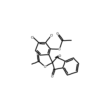 CC(=O)Oc1c(C2(OC(C)=O)C(=O)c3ccccc3C2=O)ccc(Cl)c1Cl